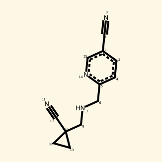 N#Cc1ccc(CNCC2(C#N)CC2)nc1